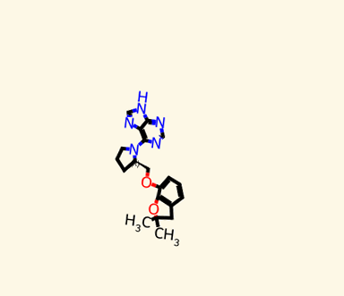 CC1(C)Cc2cccc(OC[C@H]3CCCN3c3ncnc4[nH]cnc34)c2O1